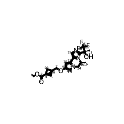 COC(=O)C12CC(COc3cc4n(n3)C[C@H](C)n3c-4cnc3[C@@](C)(O)C(F)(F)F)(C1)C2